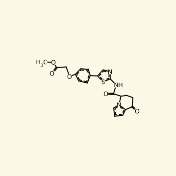 COC(=O)COc1ccc(-c2cnc(NC(=O)C3CCC(=O)c4cccn43)s2)cc1